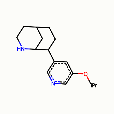 CC(C)Oc1cncc(C2CCC3CCNC2C3)c1